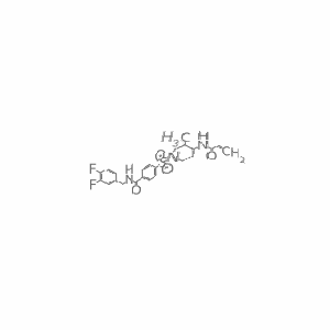 C=CC(=O)NC1CCN(S(=O)(=O)c2ccc(C(=O)NCc3ccc(F)c(F)c3)cc2)CC1C